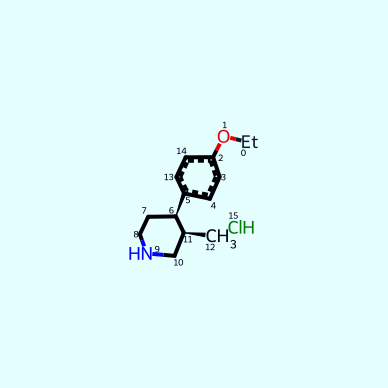 CCOc1ccc([C@@H]2CCNC[C@@H]2C)cc1.Cl